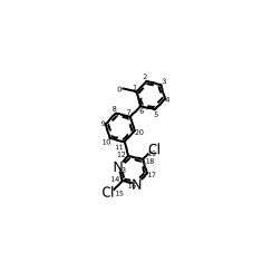 Cc1ccccc1-c1cccc(-c2nc(Cl)ncc2Cl)c1